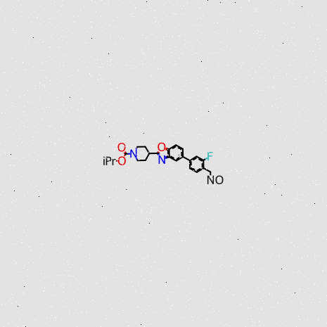 CC(C)OC(=O)N1CCC(c2nc3cc(-c4ccc(CN=O)c(F)c4)ccc3o2)CC1